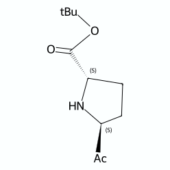 CC(=O)[C@@H]1CC[C@@H](C(=O)OC(C)(C)C)N1